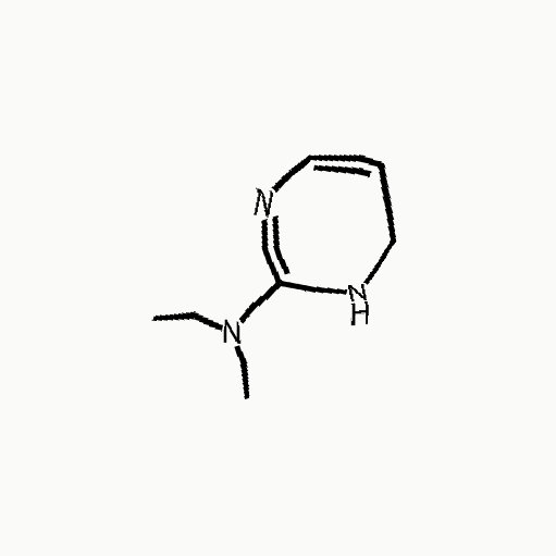 CN(C)C1=NC=CCN1